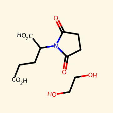 O=C(O)CCC(C(=O)O)N1C(=O)CCC1=O.OCCO